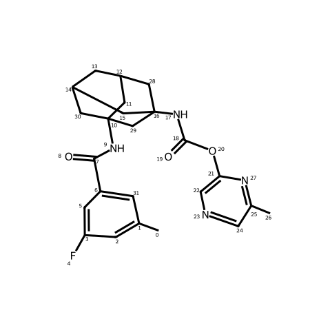 Cc1cc(F)cc(C(=O)NC23CC4CC(CC(NC(=O)Oc5cncc(C)n5)(C4)C2)C3)c1